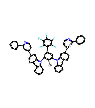 N#Cc1c(-n2c3ccccc3c3ccc(-c4ccnc(-c5ccccc5)c4)cc32)cc(-c2c(F)c(F)c(F)c(F)c2F)cc1-n1c2ccccc2c2ccc(-c3ccnc(-c4ccccc4)c3)cc21